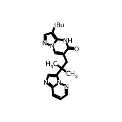 CC(C)(C)c1cnn2cc(CC(C)(C)c3cnc4cccnn34)c(=O)[nH]c12